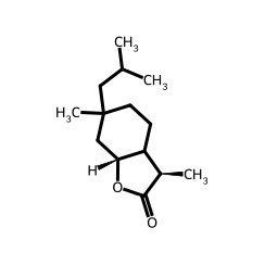 CC(C)CC1(C)CCC2[C@@H](C1)OC(=O)[C@@H]2C